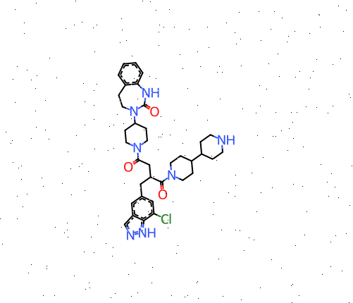 O=C(CC(Cc1cc(Cl)c2[nH]ncc2c1)C(=O)N1CCC(C2CCNCC2)CC1)N1CCC(N2CCc3ccccc3NC2=O)CC1